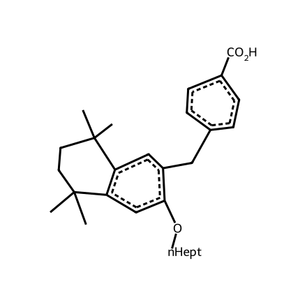 CCCCCCCOc1cc2c(cc1Cc1ccc(C(=O)O)cc1)C(C)(C)CCC2(C)C